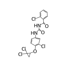 O=C(NC(=O)c1ccccc1Cl)Nc1ccc(OC2CC2(Cl)Cl)c(Cl)c1